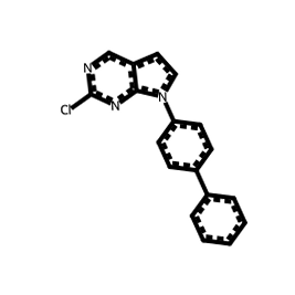 Clc1ncc2ccn(-c3ccc(-c4ccccc4)cc3)c2n1